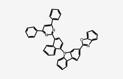 c1ccc(-c2cc(-c3ccccc3)nc(-c3ccc(-n4c5ccccc5c5ccc(-c6nc7ccccc7o6)cc54)c4ccccc34)n2)cc1